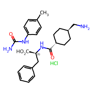 Cc1ccc(NC(N)=O)cc1.Cl.NC[C@H]1CC[C@H](C(=O)N[C@@H](Cc2ccccc2)C(=O)O)CC1